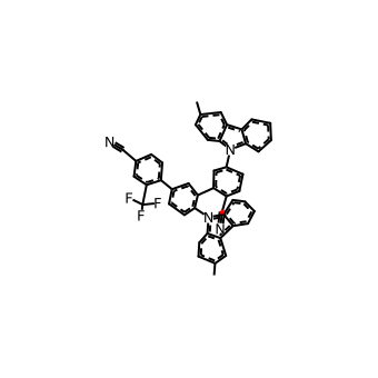 Cc1ccc2c(c1)c1ccccc1n2-c1ccc(C#N)c(-c2cc(-c3ccc(C#N)cc3C(F)(F)F)ccc2-n2c3ccccc3c3cc(C)ccc32)c1